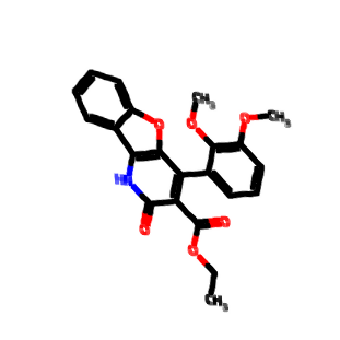 CCOC(=O)c1c(-c2cccc(OC)c2OC)c2oc3ccccc3c2[nH]c1=O